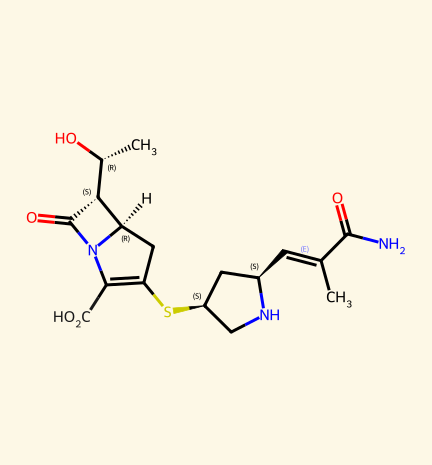 C/C(=C\[C@@H]1C[C@H](SC2=C(C(=O)O)N3C(=O)[C@H]([C@@H](C)O)[C@H]3C2)CN1)C(N)=O